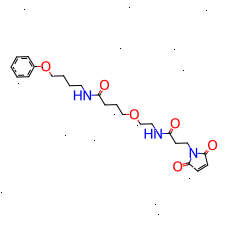 O=C(CCCOCCNC(=O)CCN1C(=O)C=CC1=O)NCCCCOc1ccccc1